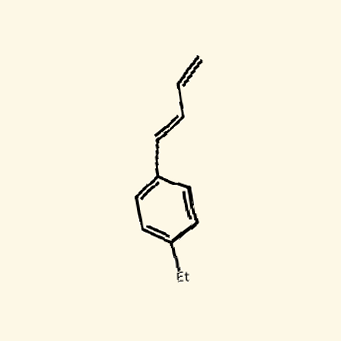 C=C/C=C/c1ccc(CC)cc1